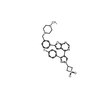 CN1CCN(Cc2cccc(-c3cc4c(-c5cn(C6CS(=O)(=O)C6)nc5-c5ccc(F)cc5)ncnc4o3)c2)CC1